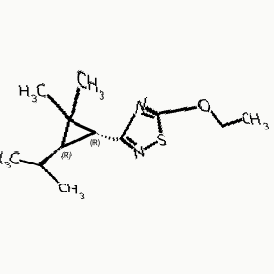 CCOc1nc([C@@H]2[C@@H](C(C)C)C2(C)C)ns1